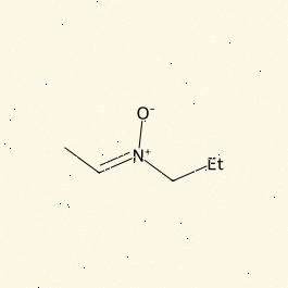 CC=[N+]([O-])CCC